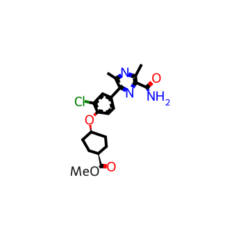 COC(=O)[C@H]1CC[C@@H](Oc2ccc(-c3nc(C(N)=O)c(C)nc3C)cc2Cl)CC1